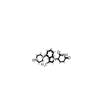 Cc1cn(C2CCC(=O)NC2=O)c2cccc(N3CCNCC3)c12